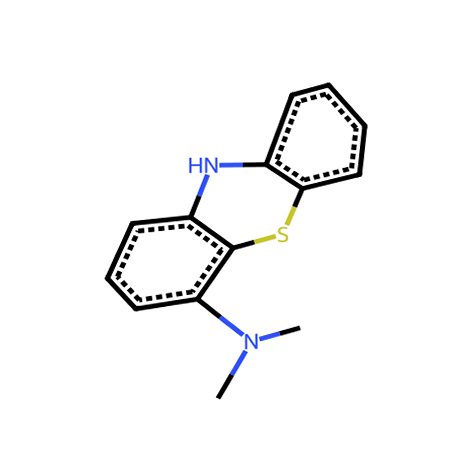 CN(C)c1cccc2c1Sc1ccccc1N2